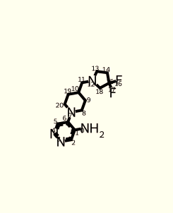 Nc1cnncc1N1CCC(CN2CCC(F)(F)C2)CC1